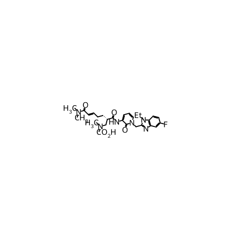 CCn1c(Cn2cccc(NC(=O)[C@@H](CC/C=C/C(=O)N(C)C)CN(C)C(=O)O)c2=O)nc2cc(F)ccc21